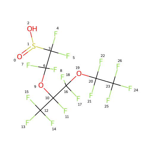 O=S(O)C(F)(F)C(F)(F)OC(F)(C(F)(F)F)C(F)(F)OC(F)(F)C(F)(F)F